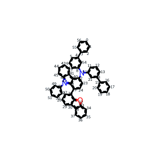 c1ccc(-c2cccc(N(c3cccc(-c4ccccc4)c3)c3ccc(-c4cccc5c4oc4ccccc45)c4c3c3ccccc3n4-c3ccccc3)c2)cc1